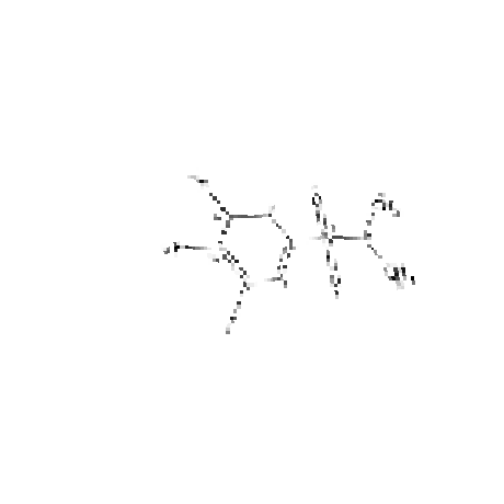 CC(C)S(=O)(=O)c1cc(F)c(F)c(F)c1